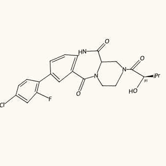 CC(C)[C@@H](O)C(=O)N1CCN2C(=O)c3cc(-c4ccc(Cl)cc4F)ccc3NC(=O)C2C1